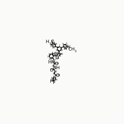 CCn1ccc(-c2cc(-c3cnn(C)c3)cc(C3(NC(=O)c4ccccc4CNC(=O)CNC(=O)/C=C/C(=O)N4CC(F)(F)C4)CC3)c2)n1